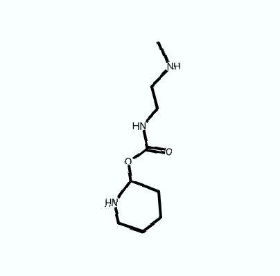 CNCCNC(=O)OC1CCCCN1